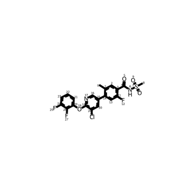 Cc1cc(C(=O)NS(C)(=O)=O)c(F)cc1-c1cnc(Oc2cccc(F)c2F)c(Cl)c1